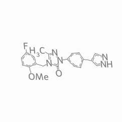 COc1ccc(F)cc1Cn1c(C)nn(-c2ccc(-c3cn[nH]c3)cc2)c1=O